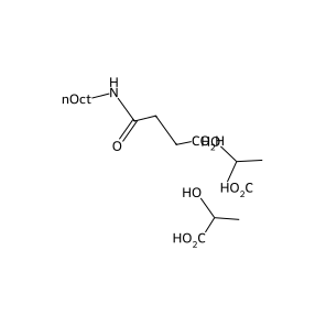 CC(O)C(=O)O.CC(O)C(=O)O.CCCCCCCCNC(=O)CCC(=O)O